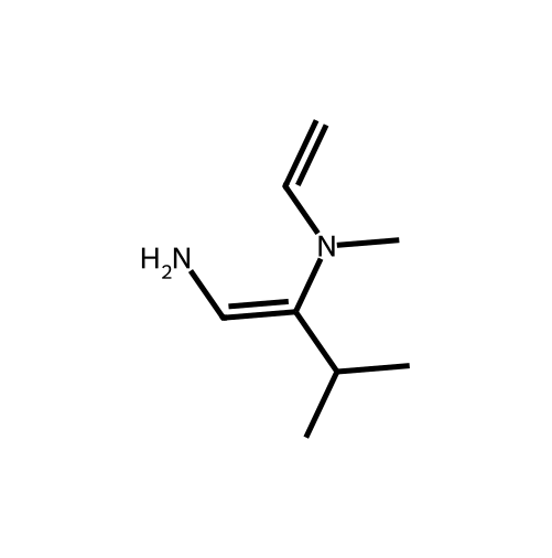 C=CN(C)/C(=C\N)C(C)C